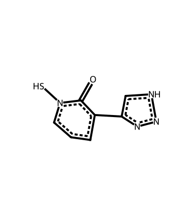 O=c1c(-c2c[nH]nn2)cccn1S